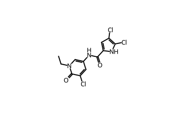 CCn1cc(NC(=O)c2cc(Cl)c(Cl)[nH]2)cc(Cl)c1=O